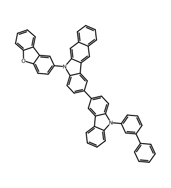 c1ccc(-c2cccc(-n3c4ccccc4c4cc(-c5ccc6c(c5)c5cc7ccccc7cc5n6-c5ccc6oc7ccccc7c6c5)ccc43)c2)cc1